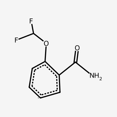 NC(=O)c1c[c]ccc1OC(F)F